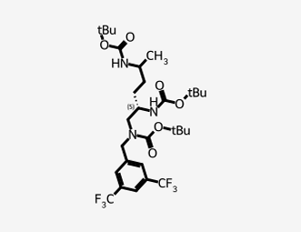 CC(CC[C@@H](CN(Cc1cc(C(F)(F)F)cc(C(F)(F)F)c1)C(=O)OC(C)(C)C)NC(=O)OC(C)(C)C)NC(=O)OC(C)(C)C